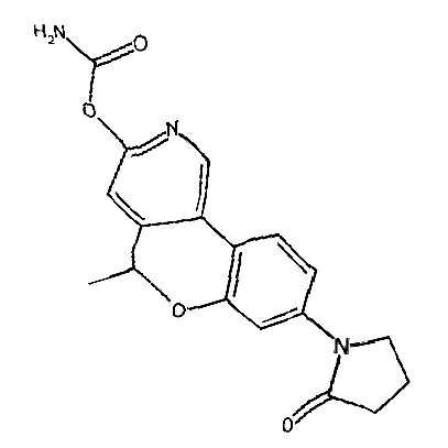 CC1Oc2cc(N3CCCC3=O)ccc2-c2cnc(OC(N)=O)cc21